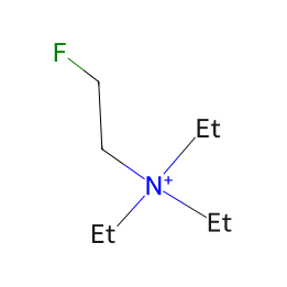 CC[N+](CC)(CC)CCF